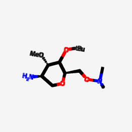 CO[C@@H]1C(OC(C)(C)C)[C@@H](CON(C)C)OC[C@H]1N